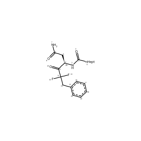 CCCCCCCC(=O)N[C@H](CC(N)=O)C(=O)C(F)(F)Cc1ccccc1